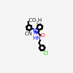 N#Cc1ccc(CC(=O)O)cc1-n1nc(C(=O)NCCc2ccc(Cl)cc2)c2ccccc21